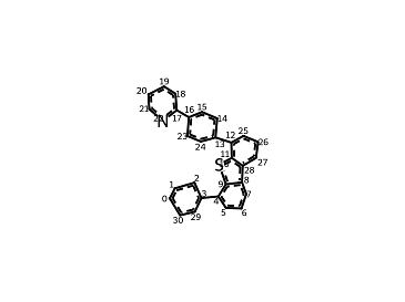 c1ccc(-c2cccc3c2sc2c(-c4ccc(-c5ccccn5)cc4)cccc23)cc1